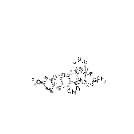 O=c1oc2cc3n(c(=O)c2c(O)c1Sc1ccc(C(F)(F)F)cc1)-c1ccc(C(F)(F)F)cc1C31CCCCC1